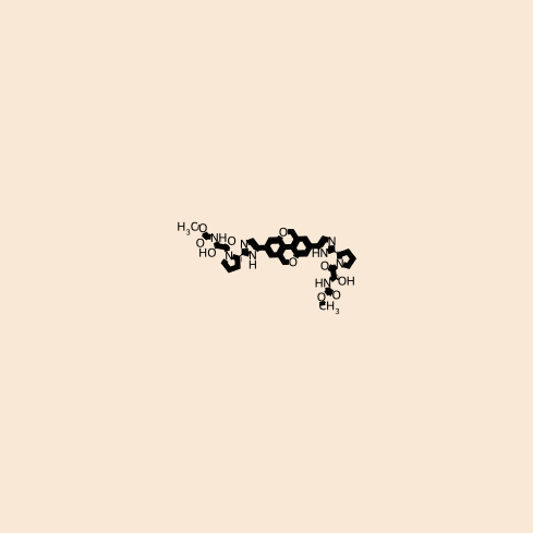 COC(=O)N[C@@H](O)C(=O)N1CCC[C@H]1c1ncc(-c2cc3c4c(c2)OCc2cc(-c5cnc([C@@H]6CCCN6C(=O)[C@H](O)NC(=O)OC)[nH]5)cc(c2-4)OC3)[nH]1